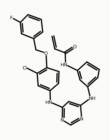 C=CC(=O)Nc1cccc(Nc2cc(Nc3ccc(OCc4cccc(F)c4)c(Cl)c3)ncn2)c1